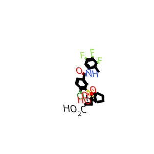 CC1C(NC(=O)c2ccc(Cl)c(S(=O)(=O)[C@@H]3C4CCC3[C@@](O)(/C=C/C(=O)O)C4)c2)=CC(F)=C(F)C1F